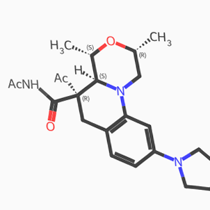 CC(=O)NC(=O)[C@]1(C(C)=O)Cc2ccc(N3CCCC3)cc2N2C[C@@H](C)O[C@@H](C)[C@@H]21